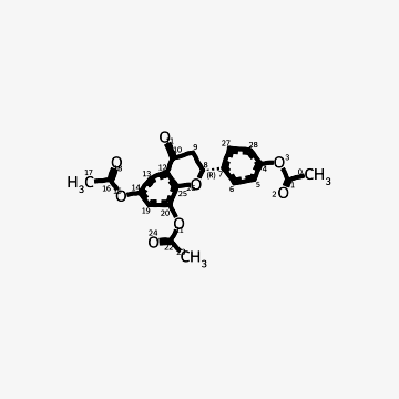 CC(=O)Oc1ccc([C@H]2CC(=O)c3cc(OC(C)=O)cc(OC(C)=O)c3O2)cc1